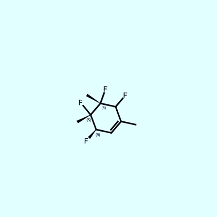 CC1=C[C@@H](F)[C@](C)(F)[C@](C)(F)C1F